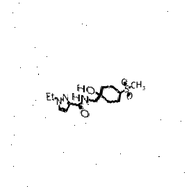 CCn1ccc(C(=O)NCC2(O)CCC(S(C)(=O)=O)CC2)n1